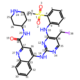 CC(C)S(=O)(=O)c1ccccc1Nc1nc(Nc2cc(C(=O)NC3CCNCC3)nc3ccccc23)ncc1CI